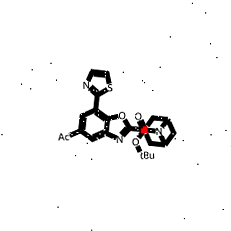 CC(=O)c1cc(-c2nccs2)c2oc(N3CC4CC(C3)N4C(=O)OC(C)(C)C)nc2c1